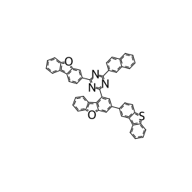 c1ccc2cc(-c3nc(-c4ccc5c(c4)oc4ccccc45)nc(-c4cc(-c5ccc6sc7ccccc7c6c5)cc5oc6ccccc6c45)n3)ccc2c1